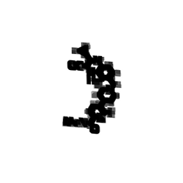 CNC(=O)c1ccc(C2=CCN(Cc3ccc4c(c3F)NC(=C=O)C(C3CC3)=N4)CC2)c(F)n1